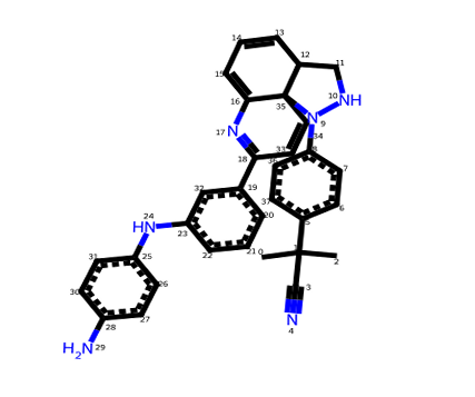 CC(C)(C#N)c1ccc(N2NCC3C=CC=C4N=C(c5cccc(Nc6ccc(N)cc6)c5)C=CC432)cc1